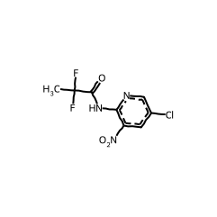 CC(F)(F)C(=O)Nc1ncc(Cl)cc1[N+](=O)[O-]